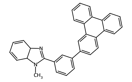 CN1C(c2cccc(-c3ccc4c5ccccc5c5ccccc5c4c3)c2)=NC2C=CC=CC21